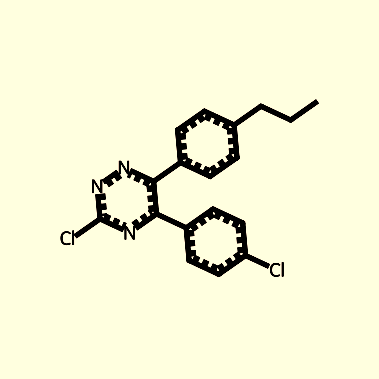 CCCc1ccc(-c2nnc(Cl)nc2-c2ccc(Cl)cc2)cc1